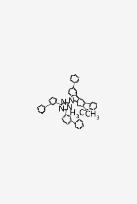 CC1(C)c2ccccc2-c2cc3c4cc(-c5ccccc5)ccc4n(-c4nc(-c5cccc(-c6ccccc6)c5)nc(-c5cccc(-c6ccccc6)c5)n4)c3cc21